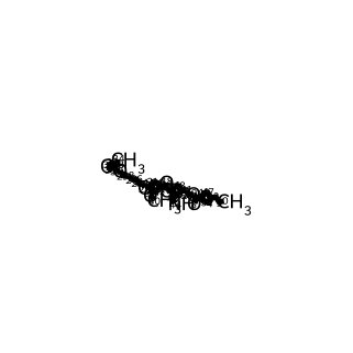 CCCc1ccc(C(=O)OCCc2ccc(OC(=O)c3ccc(OCCCCCCOCC4(CC)COC4)c(OC)c3)c(C=N)c2)cc1